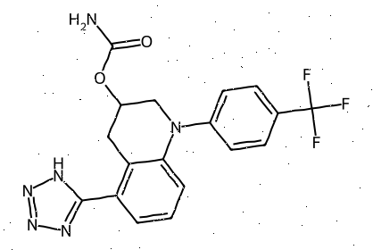 NC(=O)OC1Cc2c(-c3nnn[nH]3)cccc2N(c2ccc(C(F)(F)F)cc2)C1